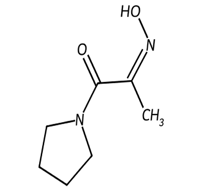 C/C(=N/O)C(=O)N1CCCC1